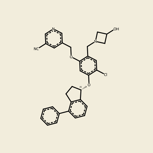 N#Cc1cncc(COc2cc(O[C@H]3CCc4c(-c5ccccc5)cccc43)c(Cl)cc2CN2CC(O)C2)c1